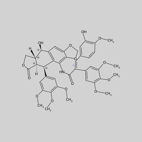 COc1ccc(/C=C(/C(=O)Nc2c3c(cc4c2[C@@H](c2cc(OC)c(OC)c(OC)c2)[C@H]2C(=O)OC[C@@H]2[C@H]4O)OCO3)c2cc(OC)c(OC)c(OC)c2)cc1O